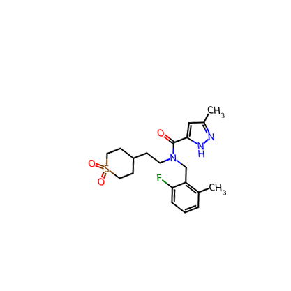 Cc1cc(C(=O)N(CCC2CCS(=O)(=O)CC2)Cc2c(C)cccc2F)[nH]n1